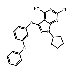 Oc1nc(Cl)nc2c1c(Oc1cccc(Oc3ccccc3)c1)nn2C1CCCC1